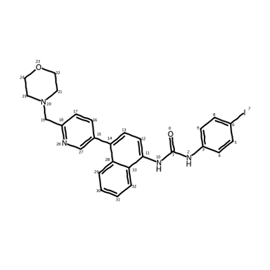 O=C(Nc1ccc(I)cc1)Nc1ccc(-c2ccc(CN3CCOCC3)nc2)c2ccccc12